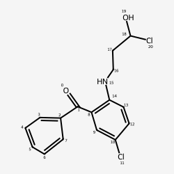 O=C(c1ccccc1)c1cc(Cl)ccc1NCCC(O)Cl